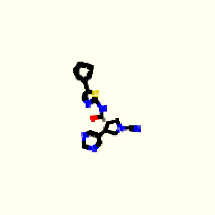 N#CN1C[C@@H](C(=O)Nc2ncc(-c3ccccc3)s2)[C@H](c2cncnc2)C1